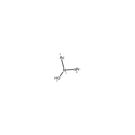 CC[CH]N(O)C(C)=O